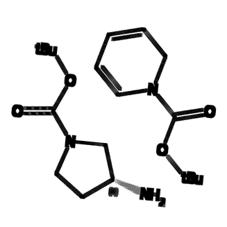 CC(C)(C)OC(=O)N1C=CC=CC1.CC(C)(C)OC(=O)N1CC[C@@H](N)C1